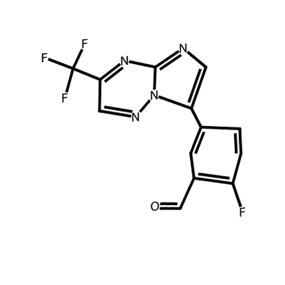 O=Cc1cc(-c2cnc3nc(C(F)(F)F)cnn23)ccc1F